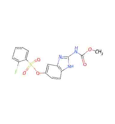 COC(=O)Nc1nc2cc(OS(=O)(=O)c3ccccc3F)ccc2[nH]1